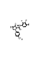 O=C1NCC(c2ccc(C(F)(F)F)cc2)C1C(=O)Nc1ccc(F)c(F)c1F